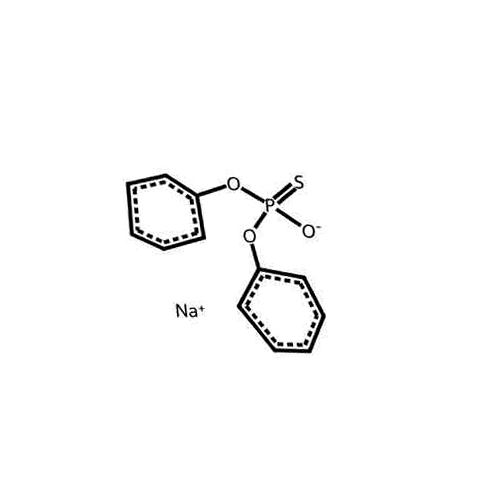 [Na+].[O-]P(=S)(Oc1ccccc1)Oc1ccccc1